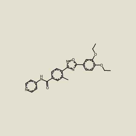 CCOc1ccc(-c2nc(-c3ccc(C(=O)Nc4ccncc4)cc3C)no2)cc1OCC